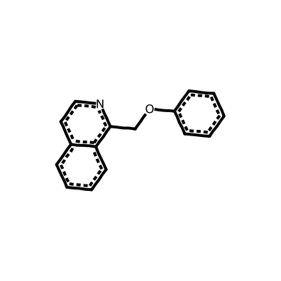 c1ccc(OCc2nccc3ccccc23)cc1